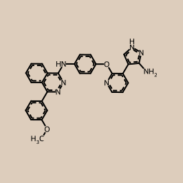 COc1cccc(-c2nnc(Nc3ccc(Oc4ncccc4-c4c[nH]nc4N)cc3)c3ccccc23)c1